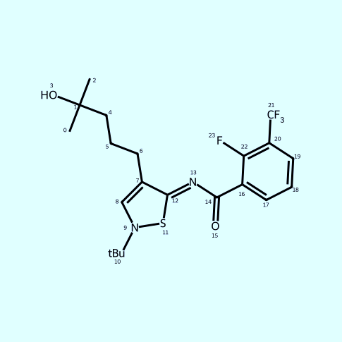 CC(C)(O)CCCc1cn(C(C)(C)C)s/c1=N\C(=O)c1cccc(C(F)(F)F)c1F